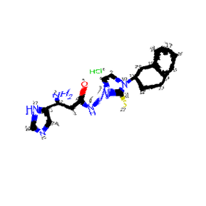 Cl.NC(CC(=O)Nn1ccn(C2CCc3ccccc3C2)c1=S)c1cnc[nH]1